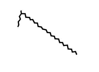 [CH2]C(CCCCC)CCCCCCCCCCCCCCCCCCCCCCCCCC